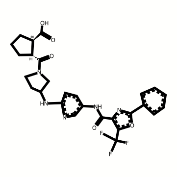 O=C(Nc1ccc(NC2CCN(C(=O)[C@@H]3CCC[C@H]3C(=O)O)C2)nc1)c1nc(-c2ccccc2)oc1C(F)(F)F